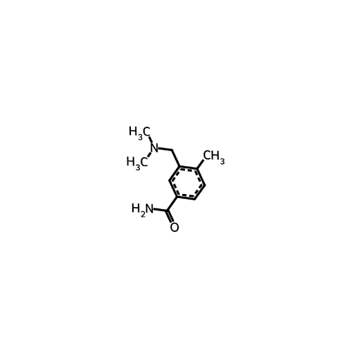 Cc1ccc(C(N)=O)cc1CN(C)C